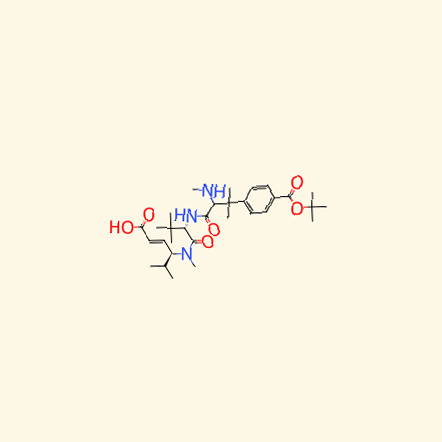 CN[C@H](C(=O)N[C@H](C(=O)N(C)[C@H](/C=C/C(=O)O)C(C)C)C(C)(C)C)C(C)(C)c1ccc(C(=O)OC(C)(C)C)cc1